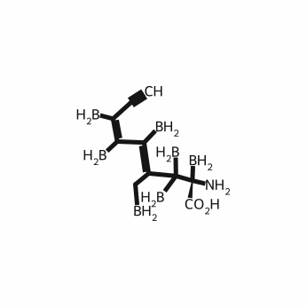 BC/C(=C(B)\C(B)=C(\B)C#C)C(B)(B)[C@](B)(N)C(=O)O